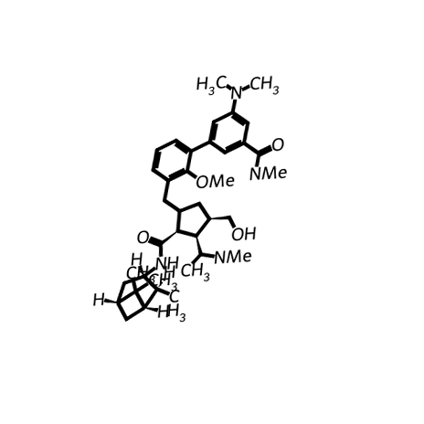 CNC(=O)c1cc(-c2cccc(CC3C[C@@H](CO)[C@@H](C(C)NC)[C@H]3C(=O)N[C@H]3C[C@H]4C[C@@H]([C@@H]3C)C4(C)C)c2OC)cc(N(C)C)c1